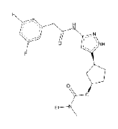 CCN(C)C(=O)O[C@@H]1CC[C@H](c2cc(NC(=O)Cc3cc(F)cc(F)c3)n[nH]2)C1